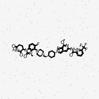 COc1nc(NC(=O)c2cccc(C(F)(F)F)n2)cc2cn([C@H]3CC[C@H](CN4CCN(c5c(F)ccc6c5n(C)c(=O)n6C5CCC(=O)NC5=O)CC4)CC3)nc12